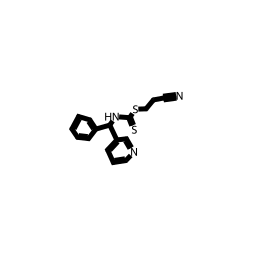 N#CCCSC(=S)NC(c1ccccc1)c1cccnc1